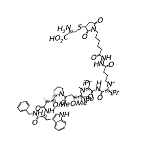 CC[C@H](C)[C@@H]([C@@H](CC(=O)N1CCC[C@H]1[C@H](OC)[C@@H](C)C(=O)N[C@@H](Cc1c[nH]c2ccccc12)C(=O)NCc1ccccc1)OC)N(C)[C@H](C(=O)NC(=O)[C@H](C(C)C)N(C)CCCC(=O)NNC(=O)CCCCCN1C(=O)CC(SC[C@H](N)C(=O)O)C1=O)C(C)C